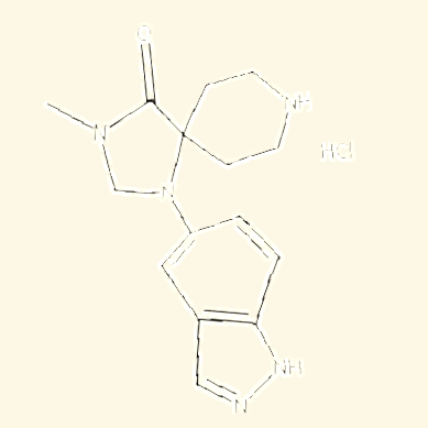 CN1CN(c2ccc3[nH]ncc3c2)C2(CCNCC2)C1=O.Cl